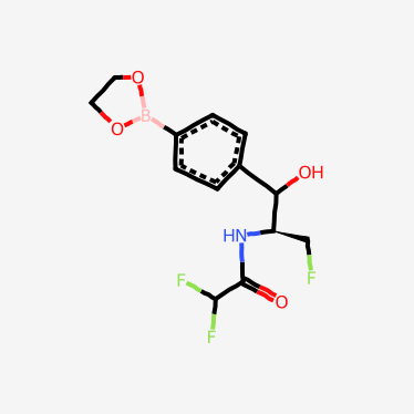 O=C(N[C@H](CF)C(O)c1ccc(B2OCCO2)cc1)C(F)F